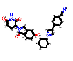 N#Cc1ccc(C2CN([C@H]3CCCC[C@@H]3Oc3ccc4c(c3)CN(C3CCC(=O)NC3=O)C4=O)C2)cc1